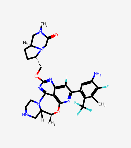 Cc1c(F)c(N)cc(-c2nc3c4c(nc(OC[C@@H]5CC[C@H]6CN(C)C(=O)CN56)nc4c2F)N2CCNC[C@H]2[C@H](C)O3)c1C(F)(F)F